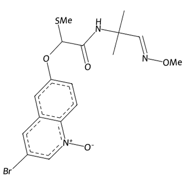 CON=CC(C)(C)NC(=O)C(Oc1ccc2c(cc(Br)c[n+]2[O-])c1)SC